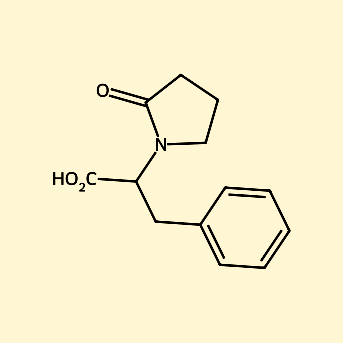 O=C(O)C(Cc1ccccc1)N1CCCC1=O